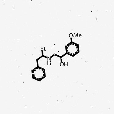 CCC(Cc1ccccc1)NCC(O)c1cccc(OC)c1